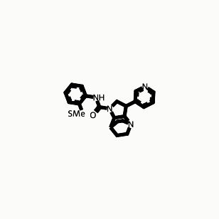 CSc1ccccc1NC(=O)N1CC(c2cccnc2)C2C1C1CCN2CC1